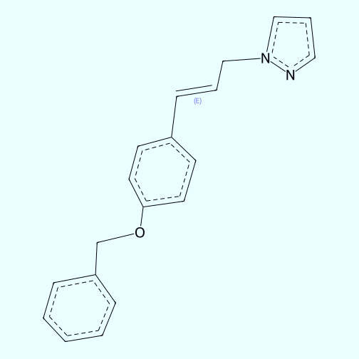 C(=C\c1ccc(OCc2ccccc2)cc1)/Cn1cccn1